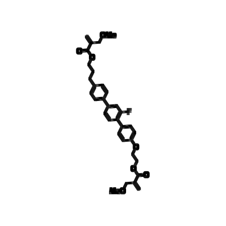 C=C(COC)C(=O)OCCCc1ccc(-c2ccc(-c3ccc(OCCOC(=O)C(=C)COC)cc3)c(F)c2)cc1